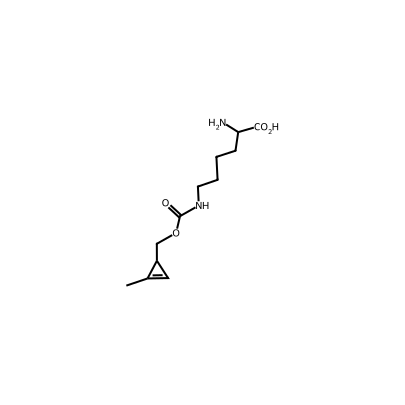 CC1=CC1COC(=O)NCCCCC(N)C(=O)O